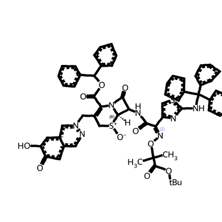 CC(C)(C)OC(=O)C(C)(C)O/N=C(\C(=O)NC1C(=O)N2C(C(=O)OC(c3ccccc3)c3ccccc3)=C(Cn3cc4cc(O)c(=O)cc-4cn3)C[S+]([O-])[C@H]12)c1csc(NC(c2ccccc2)(c2ccccc2)c2ccccc2)n1